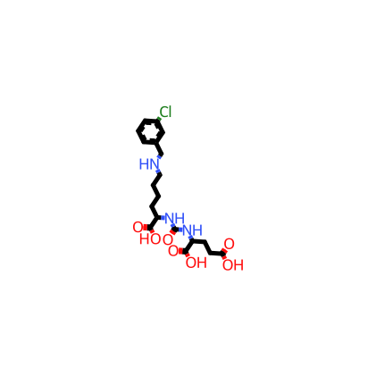 O=C(O)CCC(NC(=O)NC(CCCCNCc1cccc(Cl)c1)C(=O)O)C(=O)O